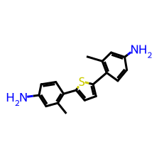 Cc1cc(N)ccc1-c1ccc(-c2ccc(N)cc2C)s1